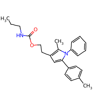 CCCNC(=O)OCCc1cc(-c2ccc(C)cc2)n(-c2ccccc2)c1C